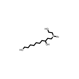 CC(=O)N(CCO)CCC(O)CCCCCCCO